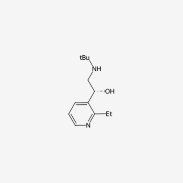 CCc1ncccc1[C@@H](O)CNC(C)(C)C